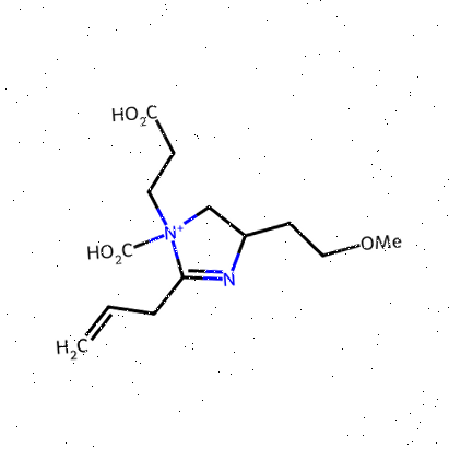 C=CCC1=NC(CCOC)C[N+]1(CCC(=O)O)C(=O)O